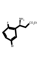 CCOC(=O)C[C@H](N)c1cc(Br)ccc1F